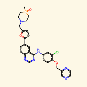 CP1(=O)CCN(Cc2ccc(-c3ccc4ncnc(Nc5ccc(OCc6cnccn6)c(Cl)c5)c4c3)o2)CC1